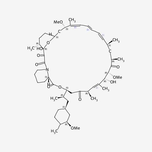 CO[C@H]1C[C@@H]2CC[C@@H](C)[C@@](O)(O2)C(=O)C(=O)N2CCCC[C@H]2C(=O)O[C@H]([C@H](C)C[C@@H]2CCC(C)[C@H](OC)C2)CC(=O)[C@H](C)/C=C(\C)[C@@H](O)[C@@H](OC)C(=O)[C@H](C)C[C@H](C)/C=C/C=C/C=C/1C